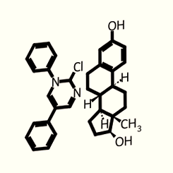 C[C@]12CC[C@@H]3c4ccc(O)cc4CC[C@H]3[C@@H]1CC[C@@H]2O.ClC1N=CC(c2ccccc2)=CN1c1ccccc1